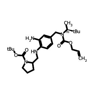 C=CCOC(=O)N(Cc1ccc(NCC2CCCN2C(=O)OC(C)(C)C)c(N)c1)[C@@H](C)C(C)(C)C